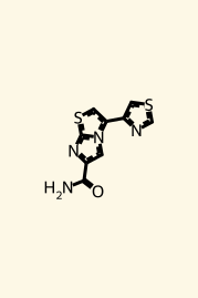 NC(=O)c1cn2c(-c3cscn3)csc2n1